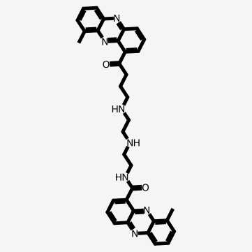 Cc1cccc2nc3cccc(C(=O)CCCNCCNCCNC(=O)c4cccc5nc6cccc(C)c6nc45)c3nc12